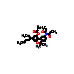 CCCCC(CC)c1cc(OC(C)=O)c2c(c1)OC(C)(C)C1CCC(N(C(=O)CC)C(=O)CC)CC21